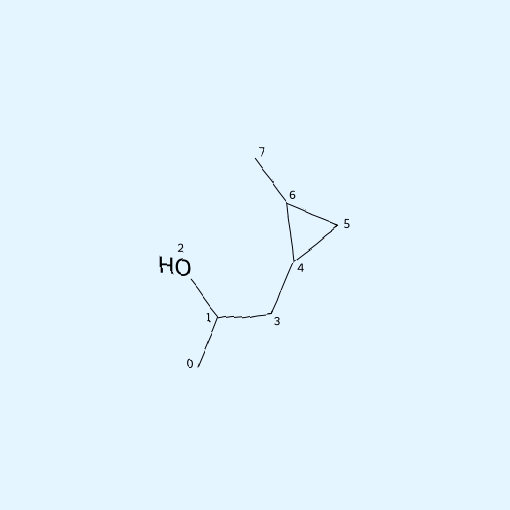 CC(O)CC1CC1C